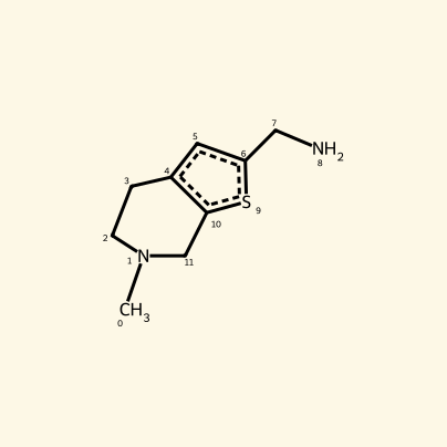 CN1CCc2cc(CN)sc2C1